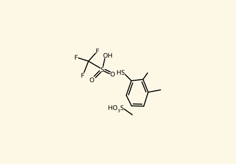 CS(=O)(=O)O.Cc1cccc(S)c1C.O=S(=O)(O)C(F)(F)F